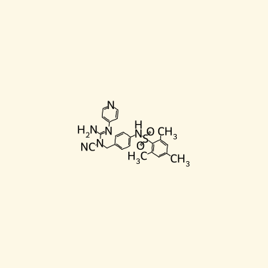 Cc1cc(C)c(S(=O)(=O)Nc2ccc(CN(C#N)C(N)=Nc3ccncc3)cc2)c(C)c1